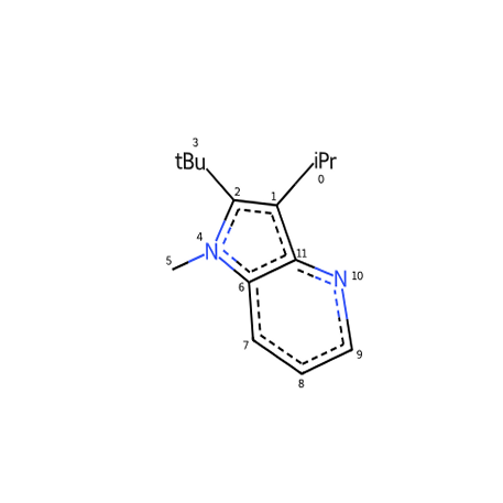 CC(C)c1c(C(C)(C)C)n(C)c2cccnc12